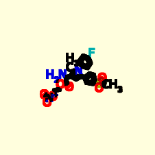 Cc1c(C(N)C(=O)OCCO[N+](=O)[O-])cc(-c2ccc(S(C)(=O)=O)cc2)n1-c1ccc(F)cc1